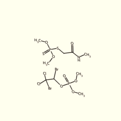 CNC(=O)CSP(=S)(OC)OC.COP(=O)(OC)OC(Br)C(Cl)(Cl)Br